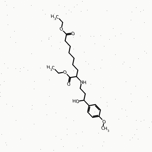 CCOC(=O)CCCCCCC(NCCC(O)c1ccc(OC)cc1)C(=O)OCC